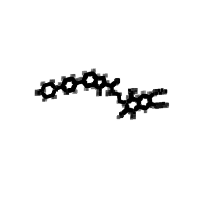 COc1cc2[nH]c(=S)n(CCNC(=O)c3cc4ccc(-c5ccc(N6CCNCC6)nc5)cc4[nH]3)c(=N)c2cc1OC